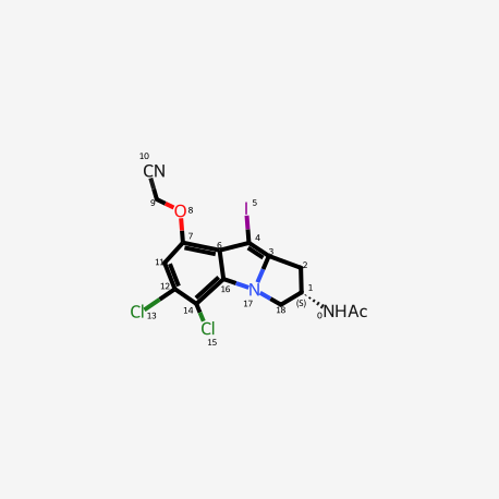 CC(=O)N[C@H]1Cc2c(I)c3c(OCC#N)cc(Cl)c(Cl)c3n2C1